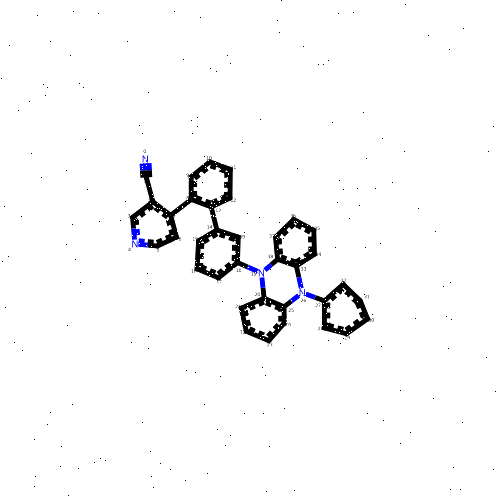 N#Cc1cnccc1-c1ccccc1-c1cccc(N2c3ccccc3N(c3ccccc3)c3ccccc32)c1